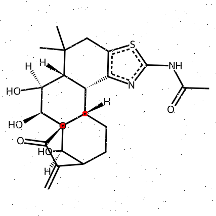 C=C1C(=O)[C@]23[C@H](O)C1CC[C@H]2[C@@]12CO[C@]3(O)[C@@H](O)[C@@H]1C(C)(C)Cc1sc(NC(C)=O)nc12